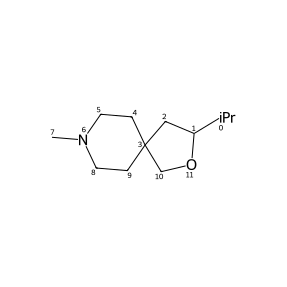 CC(C)C1CC2(CCN(C)CC2)CO1